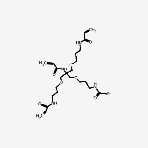 C=CC(=O)NCCCOCC(COCCCNC(=O)C=C)(COCCCNC(=O)C(C)C)NC(=O)C=C